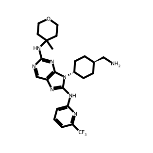 CC1(Nc2ncc3nc(Nc4cccc(C(F)(F)F)n4)n([C@H]4CC[C@H](CN)CC4)c3n2)CCOCC1